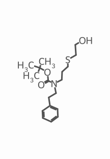 CC(C)(C)OC(=O)N(CCCSCCO)CCc1ccccc1